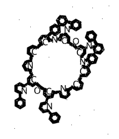 O=c1c2cc(-c3cccc(-c4ccccc4)n3)cc(c2)c2cccc(n2)c2cccc(c2)c2ccc3c4ccccc4n(c4cc(-n5c6ccccc6c6ccccc65)cc(c4)c(=O)c4cc(-n5c6ccccc6c6ccccc65)cc(c4)n4c5ccccc5c5ccc(cc54)c4cccc(c4)c4cccc(n4)c4cc(-c5cccc(-c6ccccc6)n5)cc1c4)c3c2